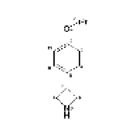 CC(C)Oc1ccc(C2CNC2)cc1